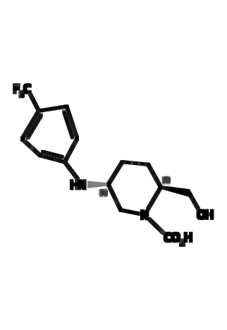 O=C(O)N1C[C@H](Nc2ccc(C(F)(F)F)cc2)CC[C@H]1CO